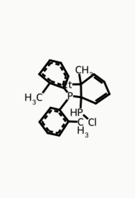 CCC1(C)C=CC=CC1(PCl)P(c1ccccc1C)c1ccccc1C